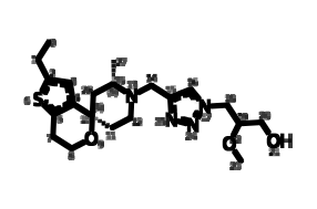 CCc1cc2c(s1)CCO[C@@]21CCN(Cc2cn(CC(CO)OC)nn2)[C@@H](C)C1